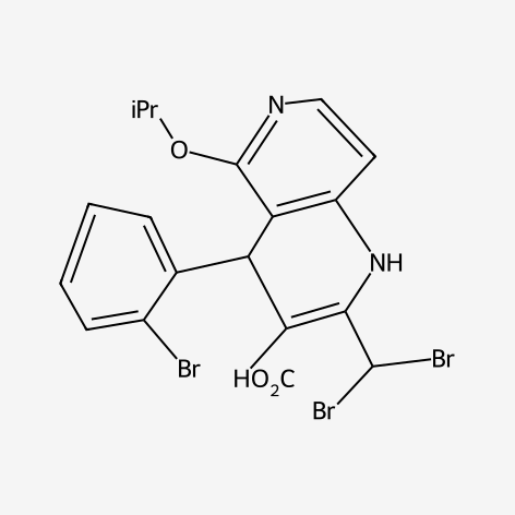 CC(C)Oc1nccc2c1C(c1ccccc1Br)C(C(=O)O)=C(C(Br)Br)N2